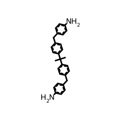 CC(C)(c1ccc(Cc2ccc(N)cc2)cc1)c1ccc(Cc2ccc(N)cc2)cc1